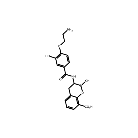 NCCOc1ccc(C(=O)NC2Cc3cccc(C(=O)O)c3OB2O)cc1O